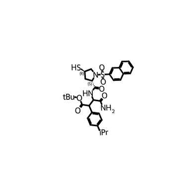 CC(C)c1ccc(C(C(=O)OC(C)(C)C)C(NC(=O)[C@@H]2C[C@@H](S)CN2S(=O)(=O)c2ccc3ccccc3c2)C(N)=O)cc1